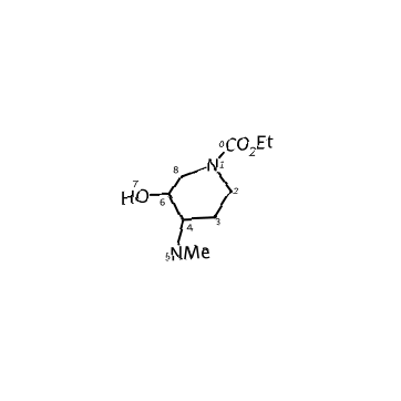 CCOC(=O)N1CCC(NC)C(O)C1